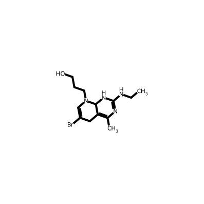 CCNC1=NC(C)=C2CC(Br)=CN(CCCO)C2N1